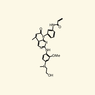 C=CC(=O)Nc1cccc(-n2c(=O)cc(C)c3cnc(Nc4ccc(N(C)CCO)cc4OC)nc32)c1